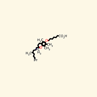 Cc1c(C)c2c(c(C)c1OCCCCCCC(=O)O)CCC(C)(/C=C/CC(C)CCCC(C)C)O2